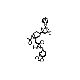 CC(=O)N1CCN(c2cc(Cl)nc(-n3ccnc3)n2)CC1CC(=O)NCc1ccc2c(c1)OCO2